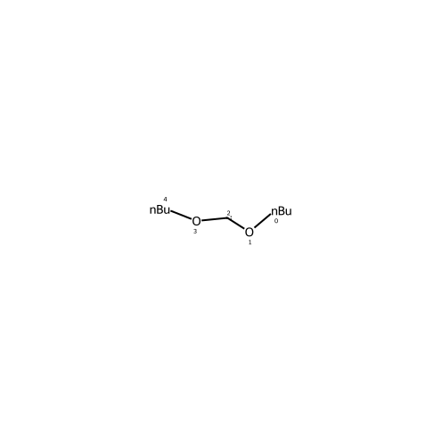 CCCCO[C]OCCCC